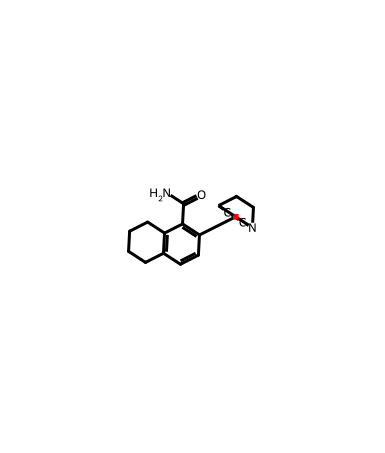 NC(=O)c1c(C2CN3CCC2CC3)ccc2c1CCCC2